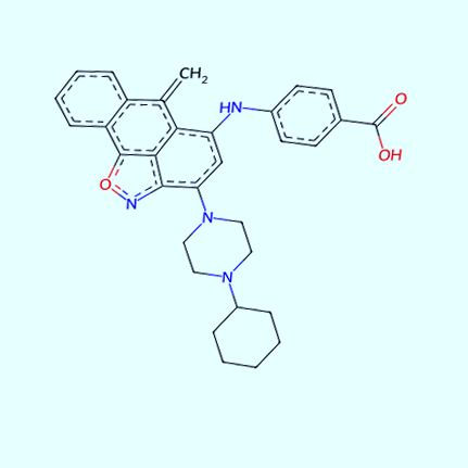 C=c1c2ccccc2c2onc3c(N4CCN(C5CCCCC5)CC4)cc(Nc4ccc(C(=O)O)cc4)c1c32